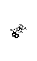 CCC(O)(CC)[C@@H](C)Nc1c([N+](=O)[O-])cnc2ccccc12